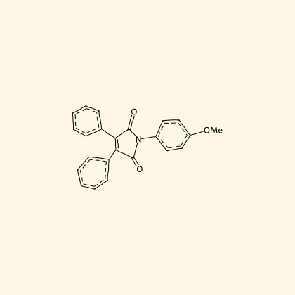 COc1ccc(N2C(=O)C(c3ccccc3)=C(c3ccccc3)C2=O)cc1